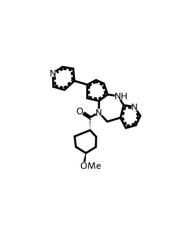 CO[C@H]1CC[C@H](C(=O)N2Cc3cccnc3Nc3ccc(-c4ccncc4)cc32)CC1